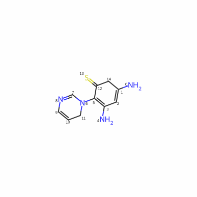 NC1=CC(N)=C(N2C=NC=CC2)C(=S)C1